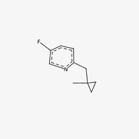 CC1(Cc2ccc(F)cn2)CC1